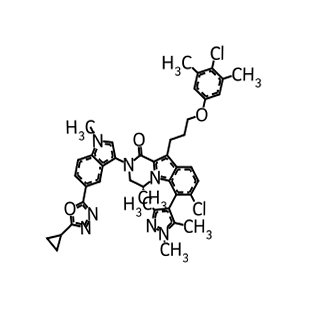 Cc1cc(OCCCc2c3n(c4c(-c5c(C)nn(C)c5C)c(Cl)ccc24)[C@H](C)CN(c2cn(C)c4ccc(-c5nnc(C6CC6)o5)cc24)C3=O)cc(C)c1Cl